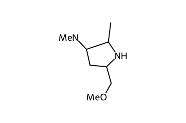 CNC1CC(COC)NC1C